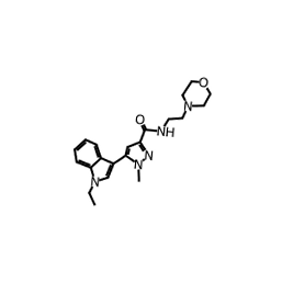 CCn1cc(-c2cc(C(=O)NCCN3CCOCC3)nn2C)c2ccccc21